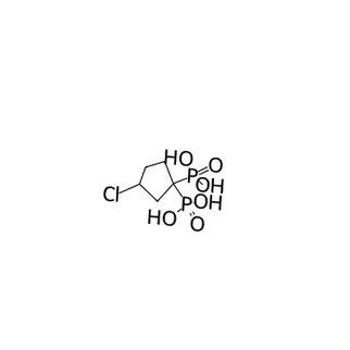 O=P(O)(O)C1(P(=O)(O)O)CCC(Cl)C1